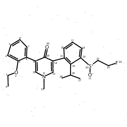 CCOc1ccccc1-c1cn(C)cc(-c2cccc([S+]([O-])CCF)c2C(C)C)c1=O